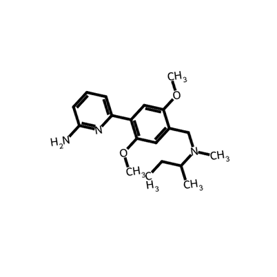 CCC(C)N(C)Cc1cc(OC)c(-c2cccc(N)n2)cc1OC